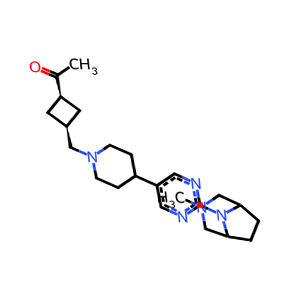 CC(=O)[C@H]1C[C@@H](CN2CCC(c3cnc(N4C5CCC4CN(C)C5)nc3)CC2)C1